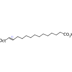 CCCCCCCC/C=C/CCCCCCCCCCCC(=O)O